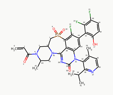 C=CC(=O)N1CC2CS(=O)(=O)c3c(F)c(-c4c(O)ccc(F)c4F)cc4c3c(nc(=O)n4-c3c(C)ccnc3C(C)C)N2CC1C